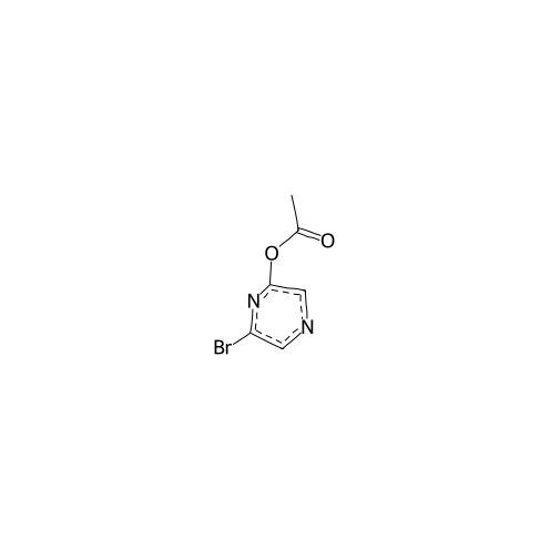 CC(=O)Oc1cncc(Br)n1